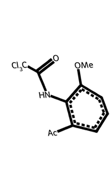 COc1cccc(C(C)=O)c1NC(=O)C(Cl)(Cl)Cl